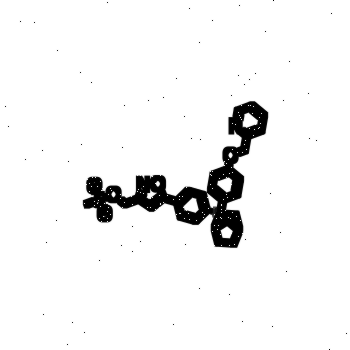 CS(=O)(=O)OCc1cc(-c2ccc([C@]3(c4ccc(OCc5ccccn5)cc4)CC4CCC3C4)cc2)on1